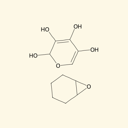 C1CCC2OC2C1.OC1=COC(O)C(O)=C1O